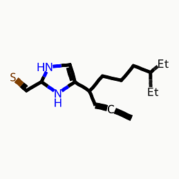 C=C=CC(CCCC(CC)CC)C1=CNC(C=S)N1